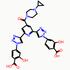 O=C(O)c1ccc(-n2cc(-c3cc(C(=O)N4CCN(C5CC5)CC4)cc(-c4cn(-c5ccc(C(=O)O)c(O)c5)nn4)n3)nn2)cc1O